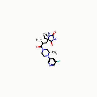 CCC1(CC(C)C(=O)N2CCN(c3cncc(F)c3)[C@@H](C)C2)NC(=O)NC1=O